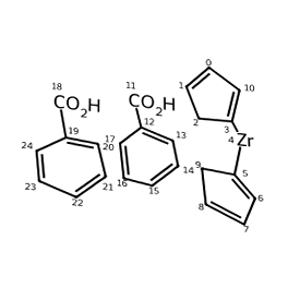 C1=CC[C]([Zr][C]2=CC=CC2)=C1.O=C(O)c1ccccc1.O=C(O)c1ccccc1